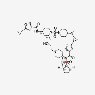 C[C@H]1C[C@@H](NC(=O)c2cc(C3CC3)on2)CCN1S(=O)(=O)N1CCC(N(C)C2CC2c2cc(C(=O)N[C@H]3C[C@H]4CC[C@@H](C3)N4S(=O)(=O)CC3CCN(CCO)CC3)no2)CC1